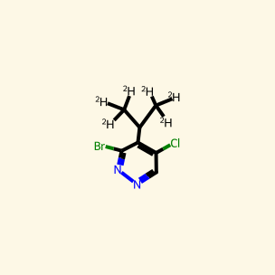 [2H]C([2H])([2H])C(c1c(Cl)cnnc1Br)C([2H])([2H])[2H]